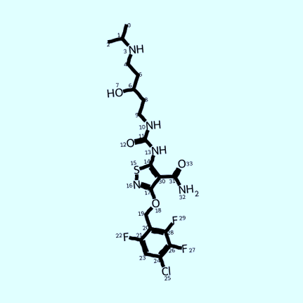 CC(C)NCCC(O)CCNC(=O)Nc1snc(OCc2c(F)cc(Cl)c(F)c2F)c1C(N)=O